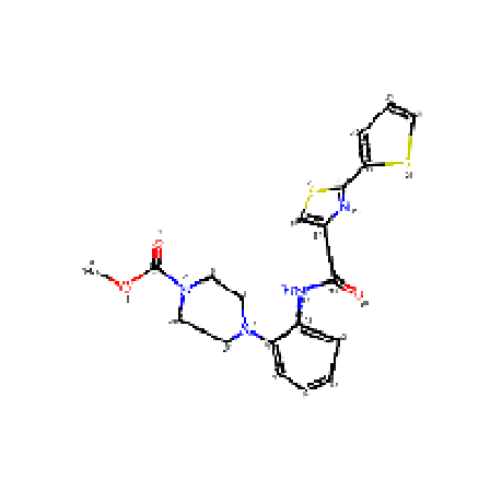 CC(C)(C)OC(=O)N1CCN(c2ccccc2NC(=O)c2csc(-c3cccs3)n2)CC1